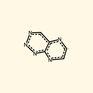 [c]1cnc2nnncc2n1